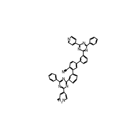 C=C/C=C(\C=C/N)c1nc(-c2ccccc2)nc(-c2cccc(-c3cc(-c4cccc(-c5nc(-c6ccccc6)nc(-c6ccncc6)n5)c4)ccc3C#N)c2)n1